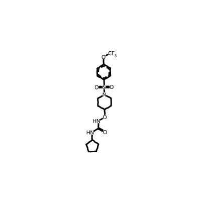 O=C(NOC1CCN(S(=O)(=O)c2ccc(OC(F)(F)F)cc2)CC1)NC1CCCC1